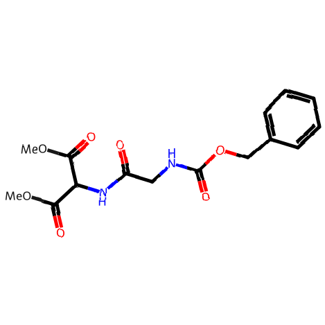 COC(=O)C(NC(=O)CNC(=O)OCc1ccccc1)C(=O)OC